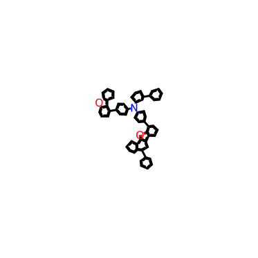 c1ccc(-c2cccc(N(c3ccc(-c4cccc5c4oc4c6ccccc6c(-c6ccccc6)cc54)cc3)c3ccc(-c4cccc5oc6ccccc6c45)cc3)c2)cc1